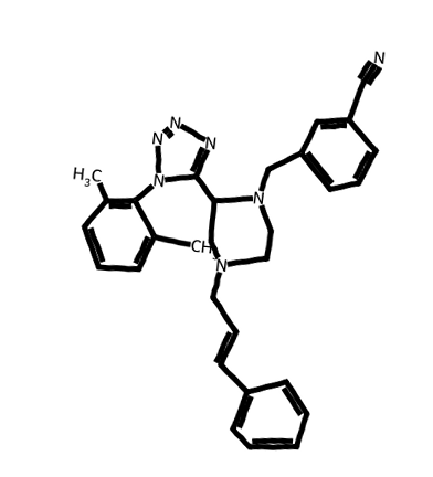 Cc1cccc(C)c1-n1nnnc1C1CN(CC=Cc2ccccc2)CCN1Cc1cccc(C#N)c1